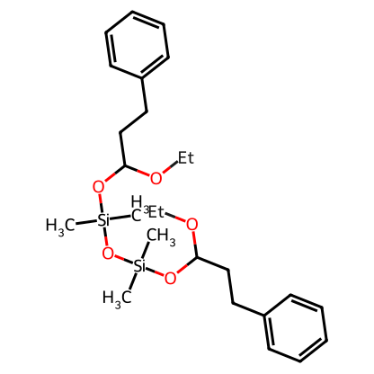 CCOC(CCc1ccccc1)O[Si](C)(C)O[Si](C)(C)OC(CCc1ccccc1)OCC